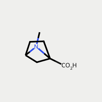 CN1C2CCC1(C(=O)O)C2